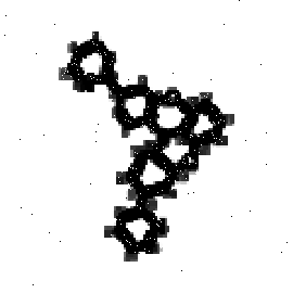 c1ccc(-c2ccc3c(c2)Oc2cccc4c2B3c2ccc(-c3ccccn3)cc2O4)nc1